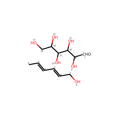 C/C=C/C=C/CO.O=CC(O)C(O)C(O)C(O)CO